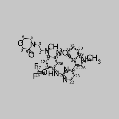 CN(CCN1CCOCC1=O)c1cc(OC(F)F)c(Nc2nccc(-c3cn(C)c4ccccc34)n2)cc1[N+](=O)[O-]